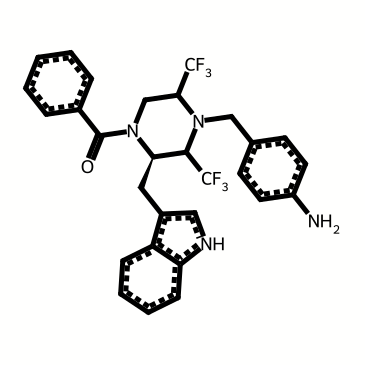 Nc1ccc(CN2C(C(F)(F)F)CN(C(=O)c3ccccc3)[C@H](Cc3c[nH]c4ccccc34)C2C(F)(F)F)cc1